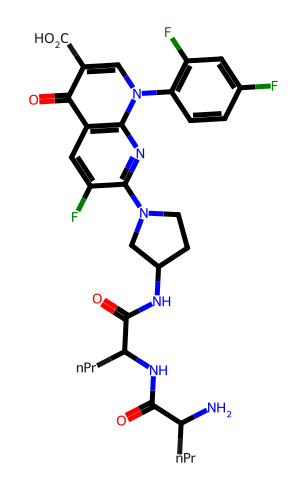 CCCC(N)C(=O)NC(CCC)C(=O)NC1CCN(c2nc3c(cc2F)c(=O)c(C(=O)O)cn3-c2ccc(F)cc2F)C1